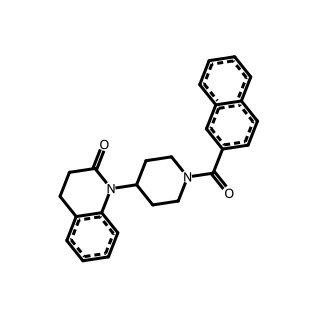 O=C(c1ccc2ccccc2c1)N1CCC(N2C(=O)CCc3ccccc32)CC1